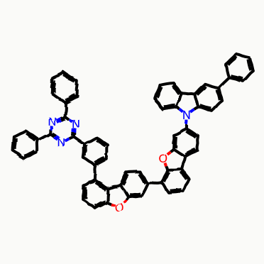 c1ccc(-c2ccc3c(c2)c2ccccc2n3-c2ccc3c(c2)oc2c(-c4ccc5c(c4)oc4cccc(-c6cccc(-c7nc(-c8ccccc8)nc(-c8ccccc8)n7)c6)c45)cccc23)cc1